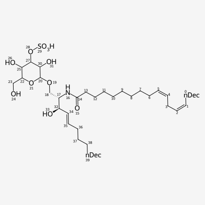 CCCCCCCCCC/C=C\C/C=C\CCCCCCCCC(=O)N[C@@H](COC1OC(CO)C(O)C(OS(=O)(=O)O)C1O)[C@H](O)/C=C/CCCCCCCCCCCCC